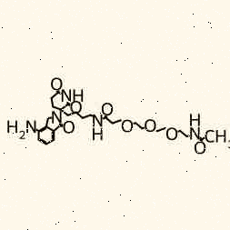 CC(=O)NCCOCCOCCOCCC(=O)NCCCCC1(N2Cc3c(N)cccc3C2=O)CCC(=O)NC1=O